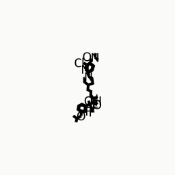 CC(C)Oc1cccc(C(O)(C(=O)N(C)CCCC2CCN(c3ccc(C(=O)N(C)C)c(Cl)n3)CC2)C(F)(F)F)c1